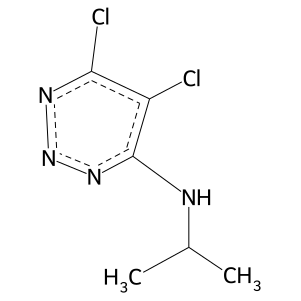 CC(C)Nc1nnnc(Cl)c1Cl